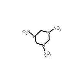 N.O=[N+]([O-])N1CN([N+](=O)[O-])CN([N+](=O)[O-])C1